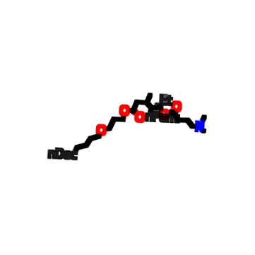 CCCCCCCCCCCCCCOCCCOC(=O)CC(C)C(CCCCC)[C@@H](CC)OC(=O)CCCN(C)C